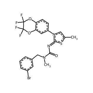 Cc1cn(-c2ccc3c(c2)OC(F)(F)C(F)(F)O3)/c(=N/C(=O)N(C)Cc2cccc(Br)c2)s1